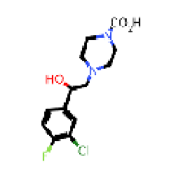 O=C(O)N1CCN(CC(O)c2ccc(F)c(Cl)c2)CC1